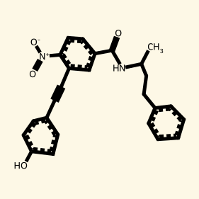 CC(CCc1ccccc1)NC(=O)c1ccc([N+](=O)[O-])c(C#Cc2ccc(O)cc2)c1